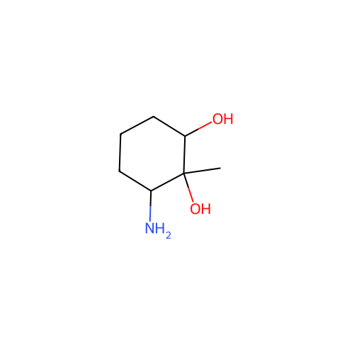 CC1(O)C(N)CCCC1O